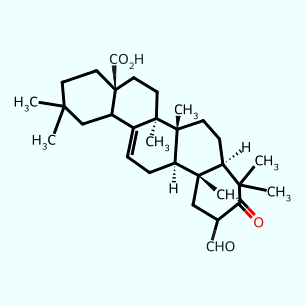 CC1(C)CC[C@]2(C(=O)O)CC[C@]3(C)C(=CC[C@@H]4[C@@]5(C)CC(C=O)C(=O)C(C)(C)[C@@H]5CC[C@]43C)C2C1